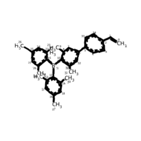 C=Cc1ccc(-c2cc(C)c(B(c3c(C)cc(C)cc3C)c3c(C)cc(C)cc3C)c(C)c2)cc1